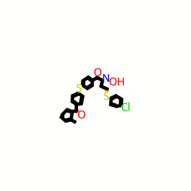 Cc1ccccc1C(=O)c1ccc(Sc2ccc(C(=O)/C(CCSc3ccc(Cl)cc3)=N/O)cc2)cc1